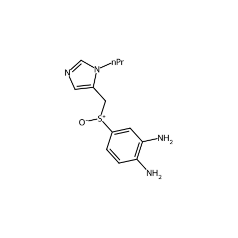 CCCn1cncc1C[S+]([O-])c1ccc(N)c(N)c1